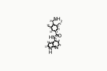 Cc1cc(C(=O)Nc2ccnc3[nH]ccc23)cc(C)c1CN